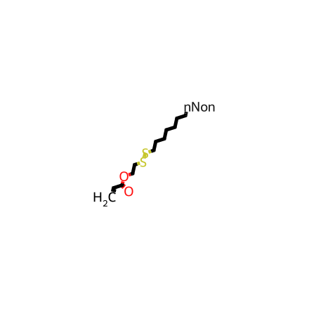 C=CC(=O)OCCSSCCCCCCCCCCCCCCCC